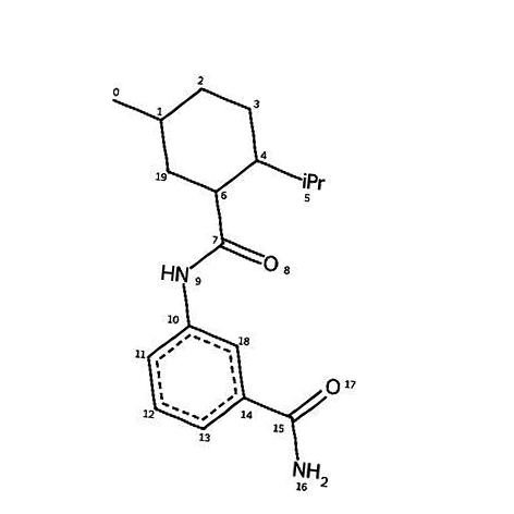 CC1CCC(C(C)C)C(C(=O)Nc2cccc(C(N)=O)c2)C1